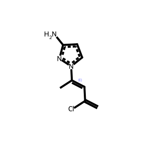 C=C(Cl)/C=C(\C)n1ccc(N)n1